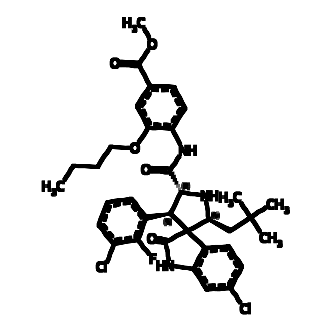 CCCCOc1cc(C(=O)OC)ccc1NC(=O)[C@@H]1N[C@@H](CC(C)(C)C)C2(C(=O)Nc3cc(Cl)ccc32)[C@H]1c1cccc(Cl)c1F